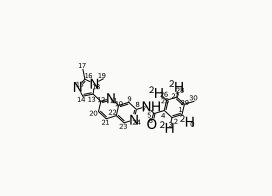 [2H]c1c([2H])c(C(=O)Nc2cc3nc(-c4cnc(C)n4C)ccc3cn2)c([2H])c([2H])c1C